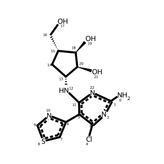 Nc1nc(Cl)c(-c2cscn2)c(N[C@@H]2C[C@H](CO)[C@@H](O)[C@H]2O)n1